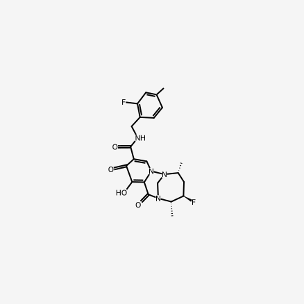 Cc1ccc(CNC(=O)c2cn3c(c(O)c2=O)C(=O)N2CN3[C@H](C)C[C@@H](F)[C@@H]2C)c(F)c1